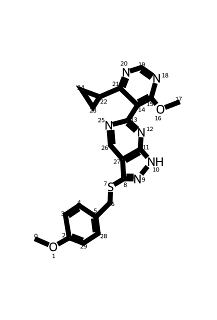 COc1ccc(CSc2n[nH]c3nc(-c4c(OC)ncnc4C4CC4)ncc23)cc1